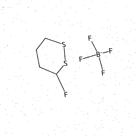 FC1CCCSS1.F[B-](F)(F)F